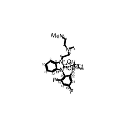 CNCCN(C)CCN1c2ccccc2N(c2c(F)cc(F)cc2F)S1(O)O.Cl.Cl